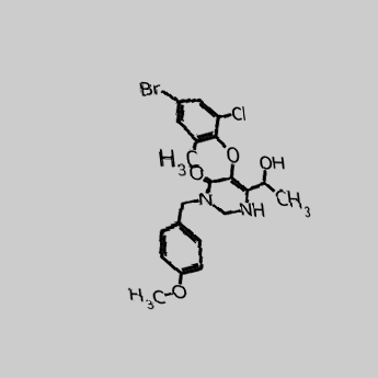 COc1ccc(CN2CNC(C(C)O)=C(Oc3c(C)cc(Br)cc3Cl)C2=O)cc1